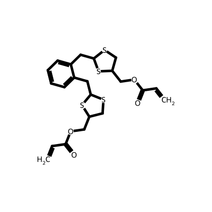 C=CC(=O)OCC1CSC(Cc2ccccc2CC2SCC(COC(=O)C=C)S2)S1